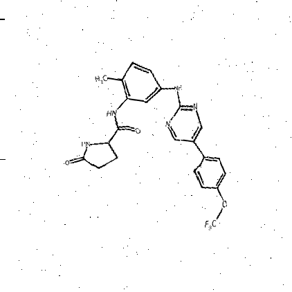 Cc1ccc(Nc2ncc(-c3ccc(OC(F)(F)F)cc3)cn2)cc1NC(=O)C1CCC(=O)N1